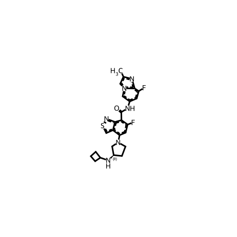 Cc1cn2cc(NC(=O)c3c(F)cc(N4CC[C@@H](NC5CCC5)C4)c4csnc34)cc(F)c2n1